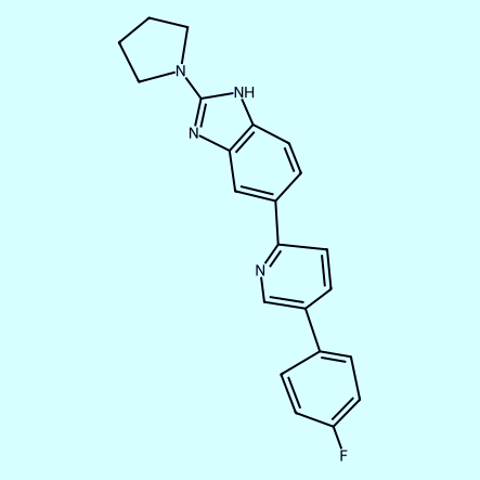 Fc1ccc(-c2ccc(-c3ccc4[nH]c(N5CCCC5)nc4c3)nc2)cc1